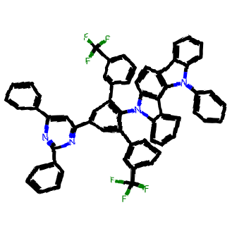 FC(F)(F)c1cccc(-c2cc(-c3cc(-c4ccccc4)nc(-c4ccccc4)n3)cc(-c3cccc(C(F)(F)F)c3)c2-n2c3ccccc3c3c2ccc2c4ccccc4n(-c4ccccc4)c23)c1